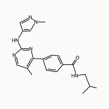 Cc1cnc(Nc2cnn(C)c2)nc1-c1ccc(C(=O)NCC(C)C)cc1